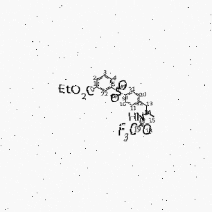 CCOC(=O)c1cccc(S(=O)(=O)c2ccc(C[C@@H](C)NC(=O)C(F)(F)F)cc2)c1